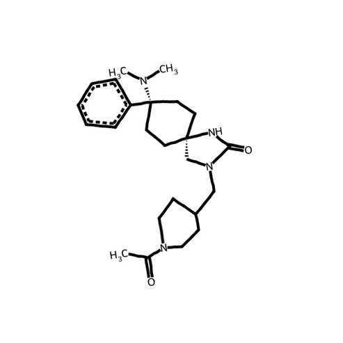 CC(=O)N1CCC(CN2C[C@]3(CC[C@@](c4ccccc4)(N(C)C)CC3)NC2=O)CC1